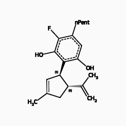 C=C(C)[C@@H]1CC(C)=C[C@H]1c1c(O)cc(CCCCC)c(F)c1O